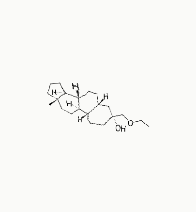 CCOC[C@@]1(O)CC[C@H]2[C@H](CC[C@@H]3[C@@H]2CC[C@]2(C)CCC[C@@H]32)C1